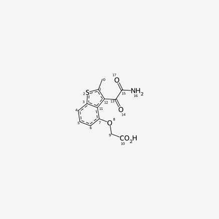 Cc1sc2cccc(OCC(=O)O)c2c1C(=O)C(N)=O